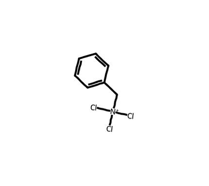 Cl[N+](Cl)(Cl)Cc1ccccc1